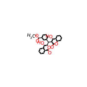 COC(=O)c1cccc(C(c2oc(=O)c3ccccc3c2O)c2c(O)c3ccccc3oc2=O)c1